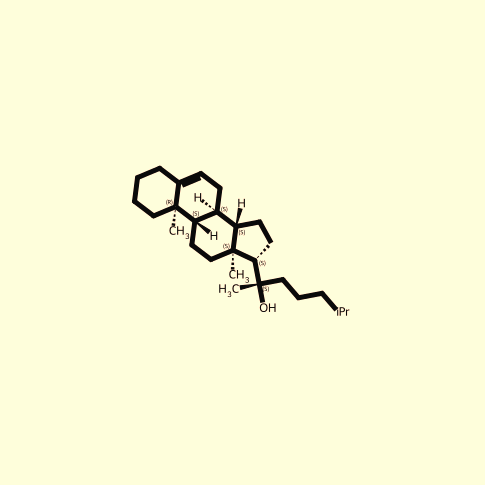 CC(C)CCC[C@](C)(O)[C@H]1CC[C@H]2[C@@H]3CC=C4CCCC[C@]4(C)[C@H]3CC[C@@]21C